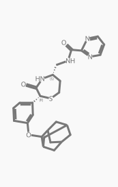 O=C(NC[C@@H]1CCS[C@H](c2cccc(OC3C4CC5CC(C4)CC3C5)c2)C(=O)N1)c1ncccn1